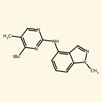 Cc1cnc(Nc2cccc3c2cnn3C)nc1C(C)(C)C